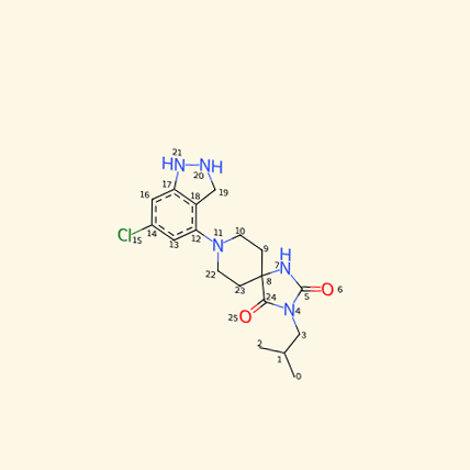 CC(C)CN1C(=O)NC2(CCN(c3cc(Cl)cc4c3CNN4)CC2)C1=O